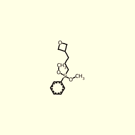 CO[Si](CCCC1COC1)(OC)c1ccccc1